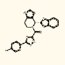 O=C(c1nnc(-c2ccc(F)cn2)o1)N1CCc2[nH]cnc2[C@@H]1c1nc2ccccc2s1